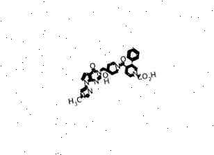 Cn1cnc(-n2ccc3c(=O)n(CC4(O)CCN(C(=O)[C@@H]5CCN(C(=O)O)C[C@H]5c5ccccc5)CC4)cnc32)c1